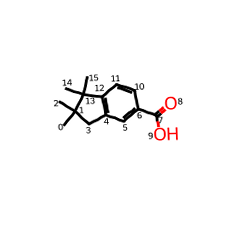 CC1(C)Cc2cc(C(=O)O)ccc2C1(C)C